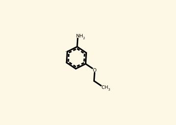 CCOc1cc[c]c(N)c1